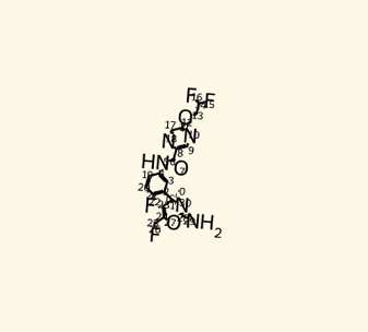 C[C@@]1(c2cc(NC(=O)c3cnc(OCC(F)F)cn3)ccc2F)C=C(CF)OC(N)=N1